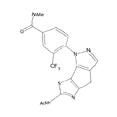 CNC(=O)c1ccc(-n2ncc3c2-c2sc(NC(C)=O)nc2C3)c(C(F)(F)F)c1